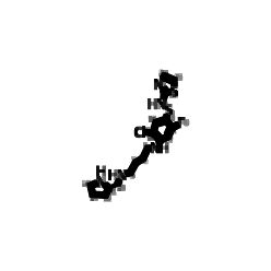 Fc1cc(NCCCCNC[C@H]2CCCN2)c(Cl)cc1SNc1nccs1